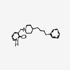 O=c1[nH]cccc1CN1CCC(CCCCc2ccccc2)CC1